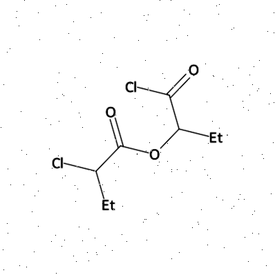 CCC(Cl)C(=O)OC(CC)C(=O)Cl